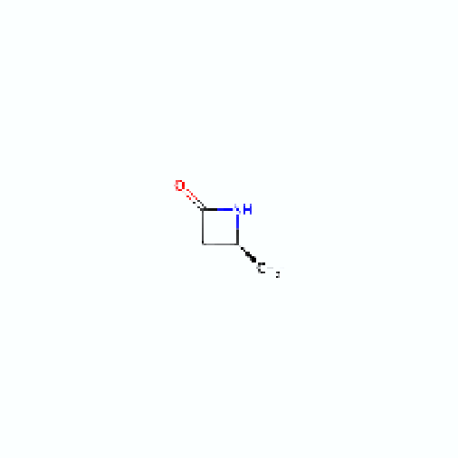 [CH2][C@H]1CC(=O)N1